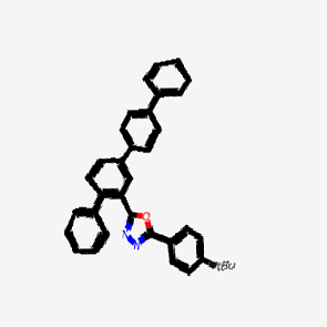 CC(C)(C)c1ccc(-c2nnc(-c3cc(-c4ccc(-c5ccccc5)cc4)ccc3-c3ccccc3)o2)cc1